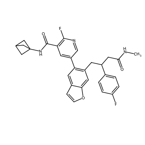 CNC(=O)CC(Cc1cc2occc2cc1-c1cnc(F)c(C(=O)NC23CC(C2)C3)c1)c1ccc(F)cc1